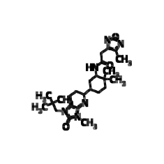 Cc1nonc1CC(=O)NC1CC(C2CC=c3c(n(C)c(=O)n3CC(C)(C)C)=N2)CCC1(C)C